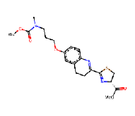 COC(=O)[C@H]1CSC(C2=Nc3ccc(OCCCN(C)C(=O)OC(C)(C)C)cc3CC2)=N1